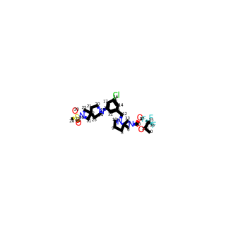 CC(OC(=O)N1CC2(CCCN2Cc2cc(Cl)cc(N3CCC4(CC3)CN(S(C)(=O)=O)C4)c2)C1)C(F)(F)F